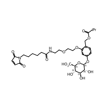 CC(C)C(=O)OCc1ccc(O[C@@H]2O[C@H](C(=O)O)[C@@H](O)[C@H](O)[C@H]2O)cc1OCCOCCNC(=O)CCCCCN1C(=O)C=CC1=O